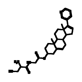 CC12CCC(OC(=O)CNC(=O)C(N)CO)CC1=CCC1C2CCC2(C)C(c3cccnc3)=CCC12